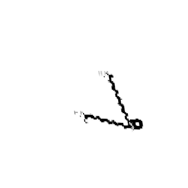 NC(=O)CCCCCCCCCCCN1C(CCCCCCCCCCC(N)=O)=Nc2cccc1c2